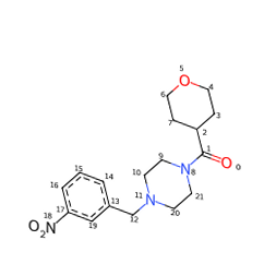 O=C(C1CCOCC1)N1CCN(Cc2cccc([N+](=O)[O-])c2)CC1